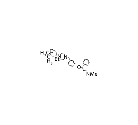 CC[C@@]1(N2CCN(Cc3cccc(CO[C@H](CCNC)c4ccccc4)c3)CC2)CCOC(C)(C)C1